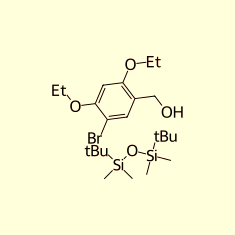 CC(C)(C)[Si](C)(C)O[Si](C)(C)C(C)(C)C.CCOc1cc(OCC)c(CO)cc1Br